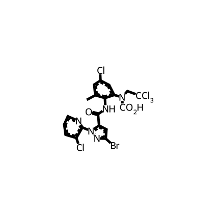 Cc1cc(Cl)cc(N(CC(Cl)(Cl)Cl)C(=O)O)c1NC(=O)c1cc(Br)nn1-c1ncccc1Cl